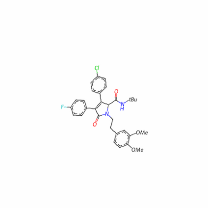 COc1ccc(CCN2C(=O)C(c3ccc(F)cc3)=C(c3ccc(Cl)cc3)C2C(=O)NC(C)(C)C)cc1OC